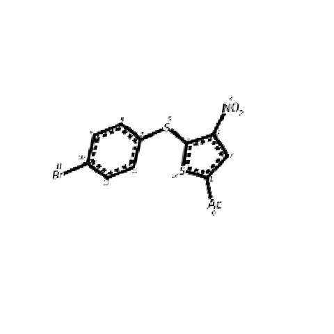 CC(=O)c1cc([N+](=O)[O-])c(Sc2ccc(Br)cc2)s1